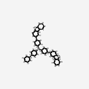 C1=Cc2c(sc3ccc(-c4ccc(N(c5ccc(-c6ccccc6)cc5)c5ccc(-c6ccc7oc8ccccc8c7c6)cc5)cc4)cc23)CC1